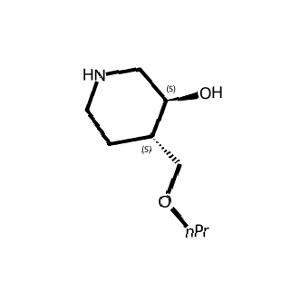 CCCOC[C@@H]1CCNC[C@H]1O